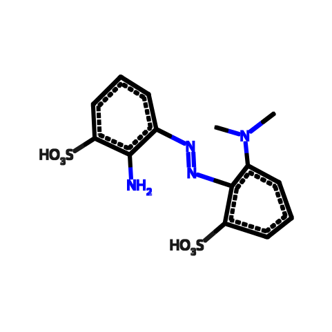 CN(C)c1cccc(S(=O)(=O)O)c1N=Nc1cccc(S(=O)(=O)O)c1N